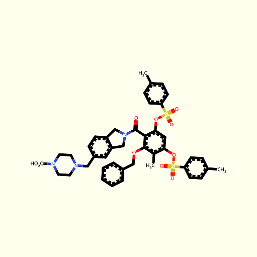 Cc1ccc(S(=O)(=O)Oc2cc(OS(=O)(=O)c3ccc(C)cc3)c(C(=O)N3Cc4ccc(CN5CCN(C(=O)O)CC5)cc4C3)c(OCc3ccccc3)c2C)cc1